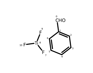 O=Cc1ccccc1.[F][Ti]([F])[F]